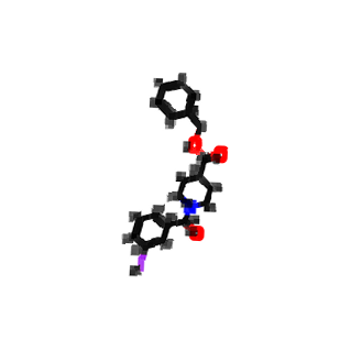 O=C(OCc1ccccc1)C1CCN(C(=O)c2cccc(I)c2)CC1